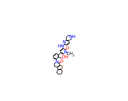 Cn1cc(-c2cccc(N3CCc4c(sc5c4CCCC5)C3=O)c2CO)cc(Nc2ccc3c(n2)CCNC3)c1=O